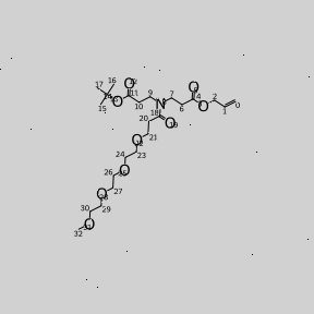 C=CCOC(=O)CCN(CCC(=O)OC(C)(C)C)C(=O)CCOCCOCCOCCOC